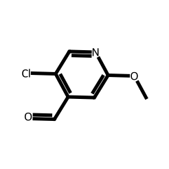 COc1cc(C=O)c(Cl)cn1